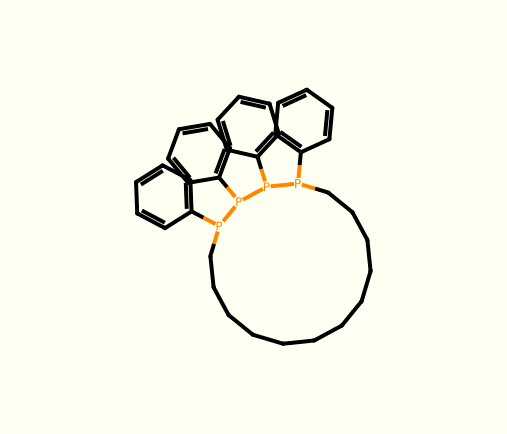 c1ccc(P2CCCCCCCCCCCCP(c3ccccc3)P(c3ccccc3)P2c2ccccc2)cc1